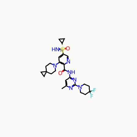 Cc1cc(NC(=O)c2ncc([S@@](=N)(=O)C3CC3)cc2N2CCC3(CC2)CC3)nc(N2CCC(F)(F)CC2)n1